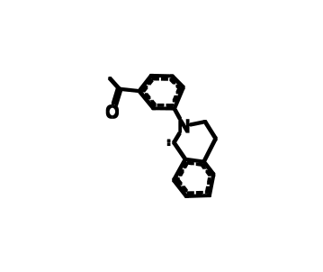 CC(=O)c1cccc(N2[C]c3ccccc3CC2)c1